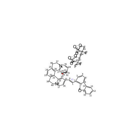 C(=C\c1cccc2c1oc1ccccc12)/c1cc[n+]2c(c1)-c1c(ccc3c1-c1c4ccccc4cc[n+]1CC3)CC2.O=S(=O)([O-])C(F)(F)F.O=S(=O)([O-])C(F)(F)F